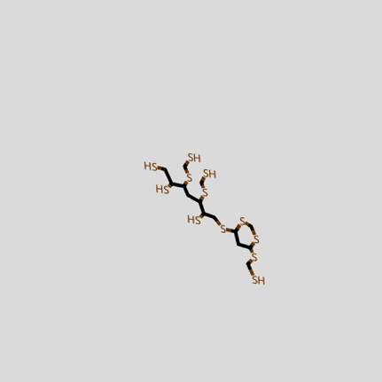 SCSC1CC(SCC(S)C(CC(SCS)C(S)CS)SCS)SCS1